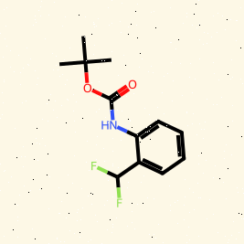 CC(C)(C)OC(=O)Nc1ccccc1C(F)F